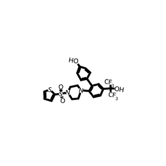 O=S(=O)(c1cccs1)N1CCN(c2ccc(C(O)(C(F)(F)F)C(F)(F)F)cc2-c2ccc(O)cc2)CC1